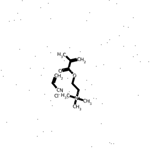 C=C(C)C(=O)OCC[N+](C)(C)C.C=CC#N.[Cl-]